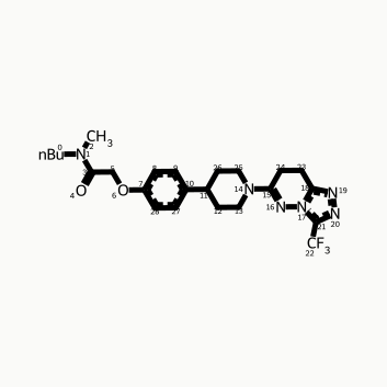 CCCCN(C)C(=O)COc1ccc(C2CCN(C3=Nn4c(nnc4C(F)(F)F)CC3)CC2)cc1